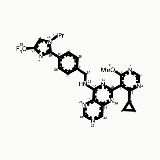 COc1ncnc(C2CC2)c1-c1nc(NCc2ccc(-c3nc(C(F)(F)F)cn3C(C)C)cc2)c2ncncc2n1